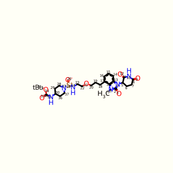 Cn1c(=O)n(C2CCC(=O)NC2=O)c2cccc(CCCOCCN[S+]([O-])N3CCC(NC(=O)OC(C)(C)C)CC3)c21